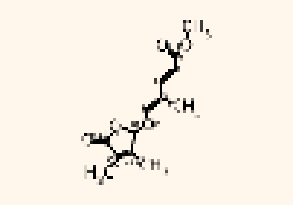 COC(=O)/C=C/C(C)=C/OC1OC(=O)C(C)=C1C